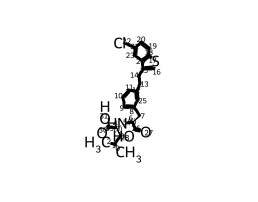 CC(C)C[C@H](N[C@@H](Cc1cccc(CCc2csc3ccc(Cl)cc23)c1)C(=O)O)C(=O)O